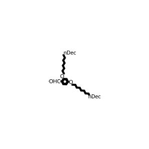 CCCCCCCCCCCCCCCCCCOc1ccc([C]=O)c(OCCCCCCCCCCCCCCCCCC)c1